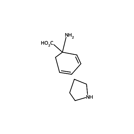 C1CCNC1.NC1(C(=O)O)C=CC=CC1